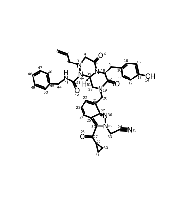 C=CCN1CC(=O)N2[C@@H](Cc3ccc(O)cc3)C(=O)N(Cc3cccc4c(C(=O)C5CC5)n(CC#N)nc34)C[C@@H]2N1C(=O)NCc1ccccc1